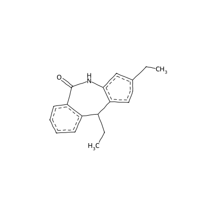 CCc1ccc2c(c1)NC(=O)c1ccccc1C2CC